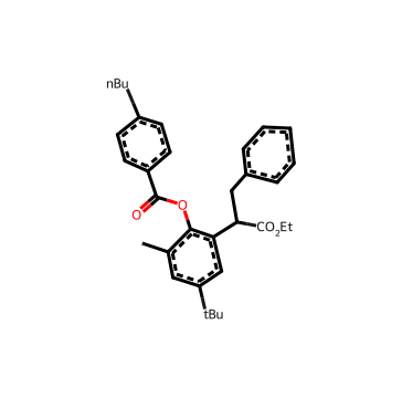 CCCCc1ccc(C(=O)Oc2c(C)cc(C(C)(C)C)cc2C(Cc2ccccc2)C(=O)OCC)cc1